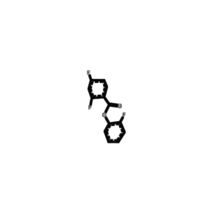 O=C(Oc1ccccc1F)c1ccc(F)cc1F